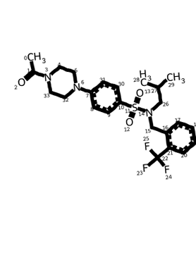 CC(=O)N1CCN(c2ccc(S(=O)(=O)N(Cc3ccccc3C(F)(F)F)CC(C)C)cc2)CC1